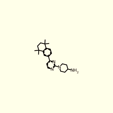 CC1(C)CCC(C)(C)c2cc(-c3ccnc(N4CCC(N)CC4)n3)ccc21